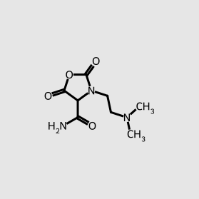 CN(C)CCN1C(=O)OC(=O)C1C(N)=O